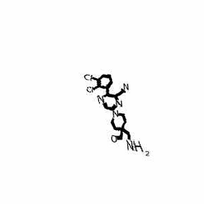 N#Cc1nc(N2CCC(C=O)(CN)CC2)cnc1-c1cccc(Cl)c1Cl